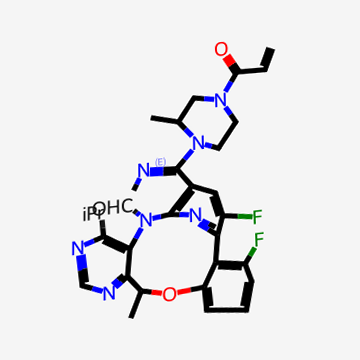 C=CC(=O)N1CCN(/C(=N/C)c2cc(F)c3nc2N(C=O)c2c(C(C)C)ncnc2C(C)Oc2cccc(F)c2-3)C(C)C1